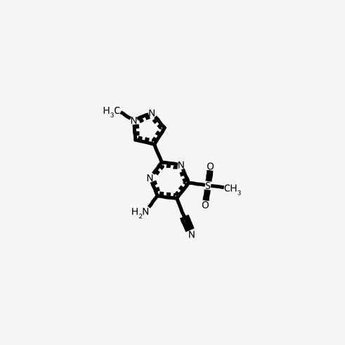 Cn1cc(-c2nc(N)c(C#N)c(S(C)(=O)=O)n2)cn1